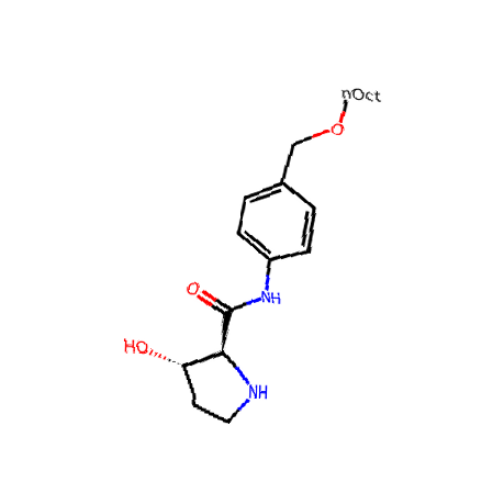 CCCCCCCCOCc1ccc(NC(=O)[C@H]2NCC[C@@H]2O)cc1